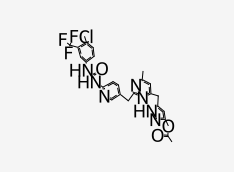 CC(=O)Oc1cc(Cc2cc(C)nc(Cc3ccc(NC(=O)Nc4ccc(Cl)c(C(F)(F)F)c4)nc3)n2)[nH]n1